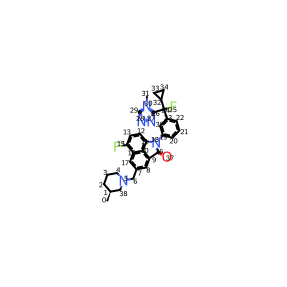 C[C@H]1CCCN(Cc2cc3c4c(ccc(F)c4c2)N(c2cccc(C(F)(c4nncn4C)C4CC4)c2)C3=O)C1